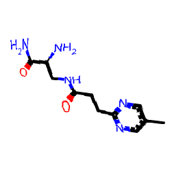 Cc1cnc(CCC(=O)NC[C@H](N)C(N)=O)nc1